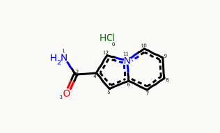 Cl.NC(=O)c1cc2ccccn2c1